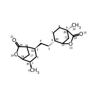 C[C@@H]1C[C@H](CC[C@@H]2CC[C@]3(C)CC2OC3=O)C2CC1OC2=O